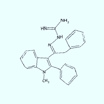 Cn1c(-c2ccccc2)c(C(Cc2ccccc2)=NNC(=N)N)c2ccccc21